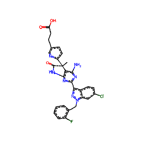 CC1(c2ccc(CCC(=O)O)cn2)C(=O)Nc2nc(-c3nn(Cc4ccccc4F)c4cc(Cl)ccc34)nc(N)c21